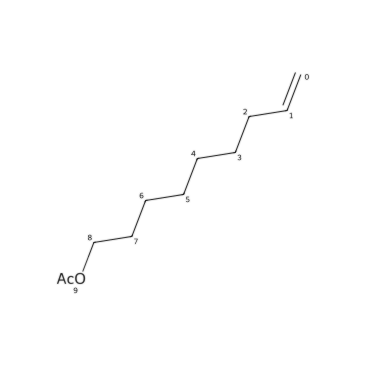 C=CCCCCCCCOC(C)=O